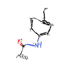 CCCCC(=O)Nc1ccc(C)cc1